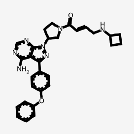 Nc1ncnc2c1c(-c1ccc(Oc3ccccc3)cc1)nn2C1CCN(C(=O)C=CCNC2CCC2)C1